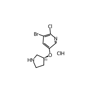 Cl.Clc1ncc(O[C@H]2CCNC2)cc1Br